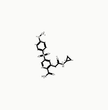 NC(=O)c1ncc(S(=O)(=O)c2ccc(OC(F)(F)F)cc2)cc1CC(=O)NC1CC1